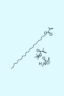 C=C(C)C(=O)OCCCCCCCCCCCCCCCCCC.C=C(C)C(=O)O[N+](C)(C)C.C=CC(N)=O.[Cl-]